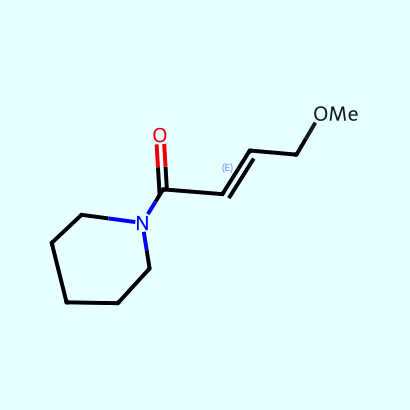 COC/C=C/C(=O)N1CCCCC1